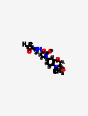 CC(=O)NC[C@H]1CN(c2ccc3c(c2)OCC(=O)N3C)C(=O)O1